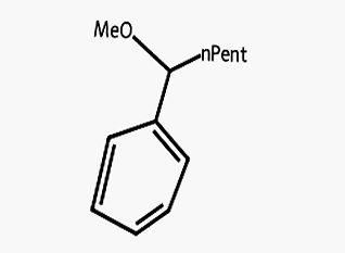 CCCCCC(OC)c1ccccc1